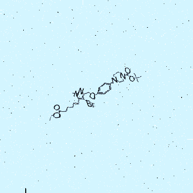 CCOC(=O)CCCC=Cc1c(Br)c(COc2ccc(N3CCN(C(=O)OC(C)(C)C)CC3)cc2)nn1C